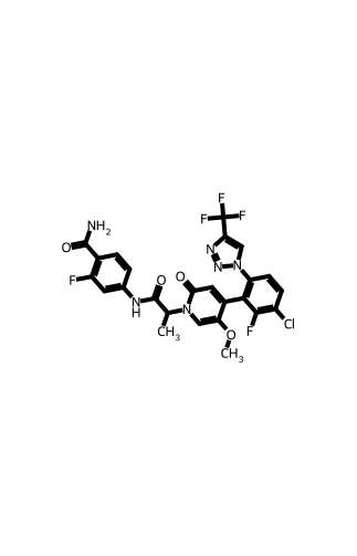 COc1cn(C(C)C(=O)Nc2ccc(C(N)=O)c(F)c2)c(=O)cc1-c1c(-n2cc(C(F)(F)F)nn2)ccc(Cl)c1F